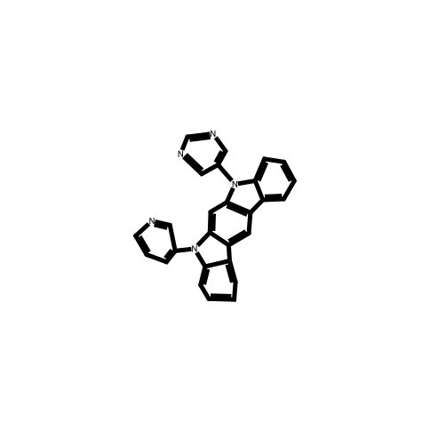 c1cncc(-n2c3ccccc3c3cc4c5ccccc5n(-c5cncnc5)c4cc32)c1